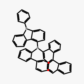 c1ccc(-c2ccccc2N(c2cc3ccc4ccccc4c3c3ccccc23)c2cccc3c2c2ccccc2n3-c2ccccc2)cc1